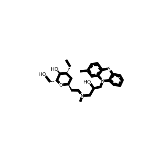 CC[C@@H]1C[C@@H](CCN(C)CC(O)CN2c3ccccc3Sc3ccc(C)cc32)O[C@H](CO)[C@H]1O